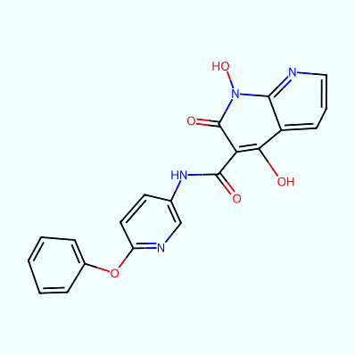 O=C(Nc1ccc(Oc2ccccc2)nc1)c1c(O)c2cccnc2n(O)c1=O